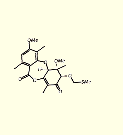 COc1cc(C)c2c(c1C)O[C@@H]1C(=C(C)C(=O)[C@@H](OCSC)[C@@]1(C)OC)OC2=O